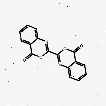 O=c1oc(-c2nc3ccccc3c(=O)o2)nc2ccccc12